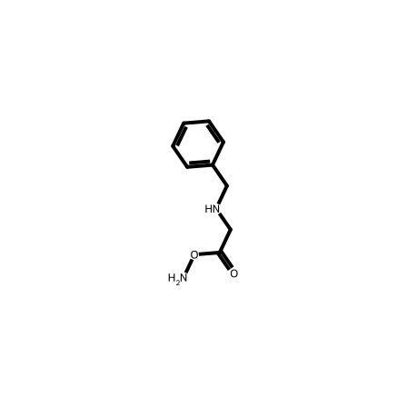 NOC(=O)CNCc1ccccc1